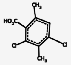 Cc1cc(Cl)c(C)c(Cl)c1C(=O)O